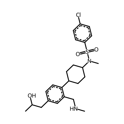 CNCc1cc(CC(C)O)ccc1C1CCC(N(C)S(=O)(=O)c2ccc(Cl)cc2)CC1